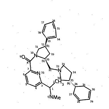 CNC(C)c1cccc(C(=O)N2C[C@@H](c3ccccc3)C[C@H]2CN2CC[C@H](C3C=CC=CC3)C2)n1